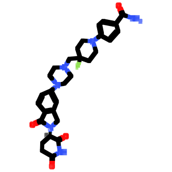 NC(=O)c1ccc(N2CCC(F)(CN3CCN(c4ccc5c(c4)CN([C@H]4CCC(=O)NC4=O)C5=O)CC3)CC2)cc1